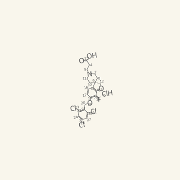 Cl.O=C(O)CCN1CCC2(CC1)COc1c2ccc(OCc2c(Cl)cc(Cl)cc2Cl)c1F